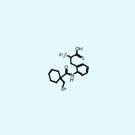 CC(C)CC1(C(=O)Nc2ccccc2CC(C)C(O)=S)CCCCC1